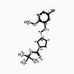 COc1ncc(Br)cc1OC[C@@H]1CCN(C(=O)OC(C)(C)C)C1